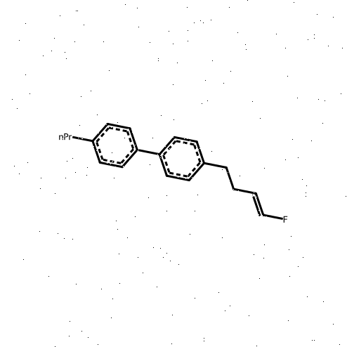 CCCc1ccc(-c2ccc(CC/C=C/F)cc2)cc1